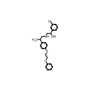 CC(CNCC(O)c1cccc(Cl)c1)c1ccc(SCCOc2ccccc2)cc1